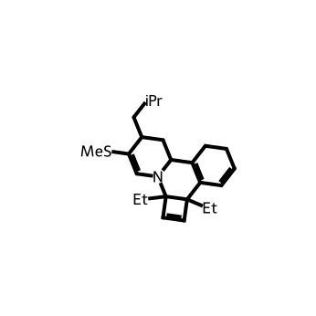 CCC12C=CC1(CC)N1C=C(SC)C(CC(C)C)CC1C1=C2C=CCC1